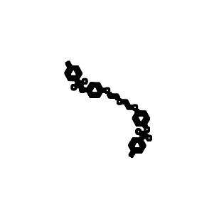 Cc1ccc(S(=O)(=O)Oc2ccc(OCCOCCOc3ccc(OS(=O)(=O)c4ccc(C)cc4)cc3)cc2)cc1